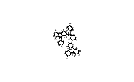 c1cc(-c2ccc3c4ccccc4c4ccccc4c3c2)cc(-n2c3ccccc3c3cc4c5ccccc5n(-c5ccncc5)c4cc32)c1